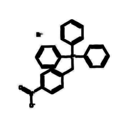 O=[N+]([O-])c1ccc(C[P+](c2ccccc2)(c2ccccc2)c2ccccc2)cc1.[Br-]